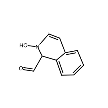 O=CC1c2ccccc2C=[C]N1O